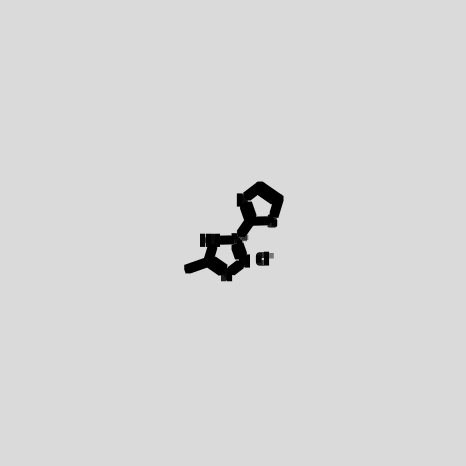 Cc1nn[n+](-c2nccs2)[nH]1.[Cl-]